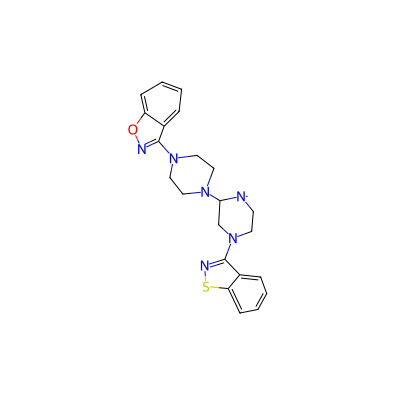 c1ccc2c(N3CCN(C4CN(c5nsc6ccccc56)CC[N]4)CC3)noc2c1